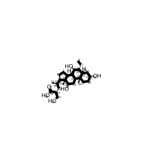 CC[C@H]1[C@@H](O)[C@H]2C3CC[C@H]([C@H](C)C[C@H](CO)C(=O)O)[C@@]3(C)[C@@H](O)CC2[C@@]2(C)CC[C@@H](O)C[C@@H]12